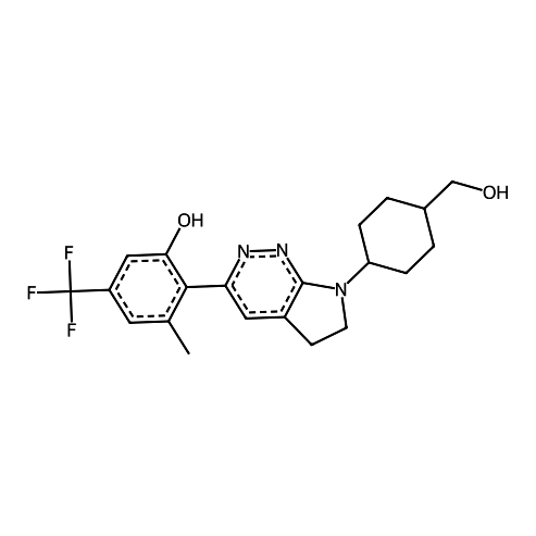 Cc1cc(C(F)(F)F)cc(O)c1-c1cc2c(nn1)N(C1CCC(CO)CC1)CC2